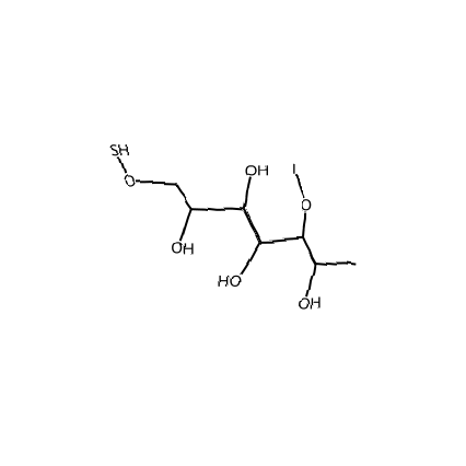 CC(O)C(OI)C(O)C(O)C(O)COS